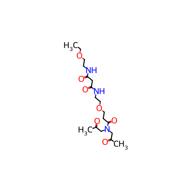 CCOCCNC(=O)CC(=O)NCCOCCC(=O)N(CC(C)=O)CC(C)=O